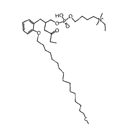 CCCCCCCCCCCCCCCCCCOc1ccccc1CC(COP(=O)(O)OCCCC[N+](C)(C)CC)CC(=O)CC